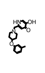 Cc1cccc(OC2CCN(Cc3cc(=O)c(O)c[nH]3)CC2)c1